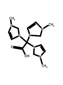 CN1C=CN(C(C(=O)O)(N2C=CN(C)C2)N2C=CN(C)C2)C1